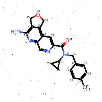 Nc1nc2cnc(C(=O)N(Cc3ccc(C(F)(F)F)cc3)C3CC3)cc2c2c1COC2